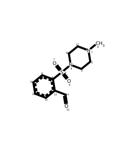 CN1CCN(S(=O)(=O)c2ccccc2C=O)CC1